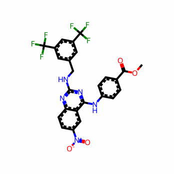 COC(=O)c1ccc(Nc2nc(NCc3cc(C(F)(F)F)cc(C(F)(F)F)c3)nc3ccc([N+](=O)[O-])cc23)cc1